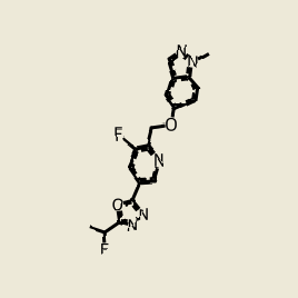 CC(F)c1nnc(-c2cnc(COc3ccc4c(cnn4C)c3)c(F)c2)o1